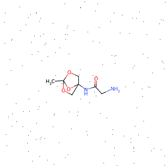 CC12OCC(NC(=O)CN)(CO1)O2